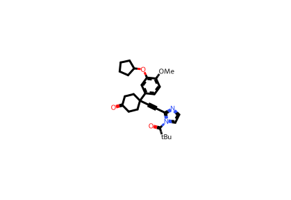 COc1ccc(C2(C#Cc3nccn3C(=O)C(C)(C)C)CCC(=O)CC2)cc1OC1CCCC1